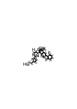 CC1(C)[C@H]2CC[C@@]1(c1ccnc(-n3ccc(CCO)n3)n1)c1nnc(-c3c(F)cccc3F)cc12